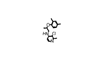 Cc1ccc(OC(C)CNc2ccnc(C)c2Cl)c(C)c1